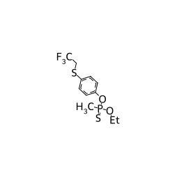 CCOP(C)(=S)Oc1ccc(SCC(F)(F)F)cc1